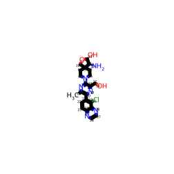 Cc1nc(N2CCC3(CC2)CO[C@@H](O)[C@H]3N)c(CO)nc1-c1ccc2nccnc2c1Cl